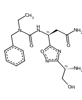 CCN(Cc1ccccc1)C(=O)N[C@@H](CC(N)=O)c1nc([C@H](N)CO)no1